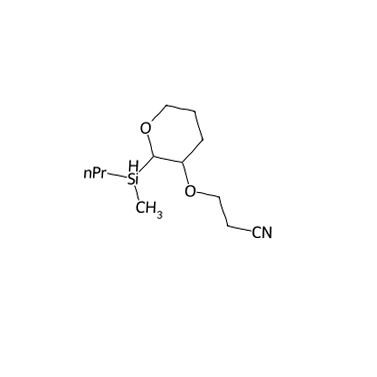 CCC[SiH](C)C1OCCCC1OCCC#N